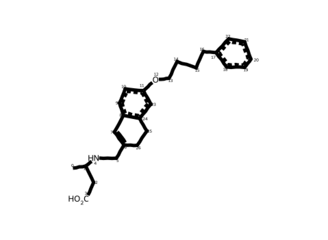 CC(CC(=O)O)NCC1=Cc2ccc(OCCCCc3ccccc3)cc2CC1